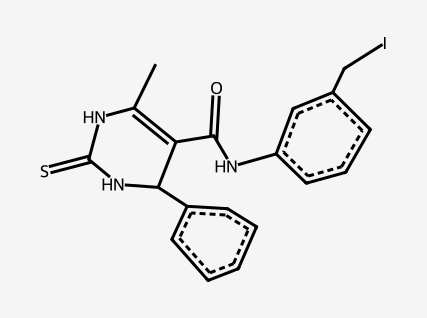 CC1=C(C(=O)Nc2cccc(CI)c2)C(c2ccccc2)NC(=S)N1